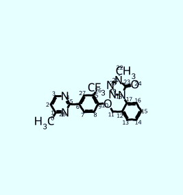 Cc1ccnc(-c2ccc(OCc3ccccc3-n3nnn(C)c3=O)c(C(F)(F)F)c2)n1